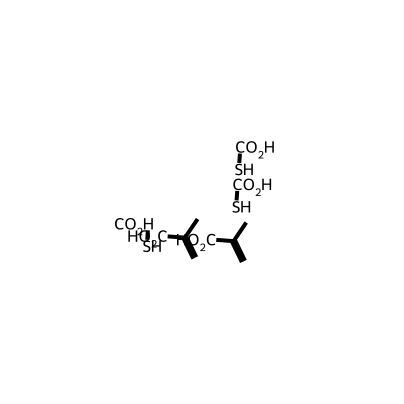 C=C(C)C(=O)O.C=C(C)C(=O)O.O=C(O)S.O=C(O)S.O=C(O)S